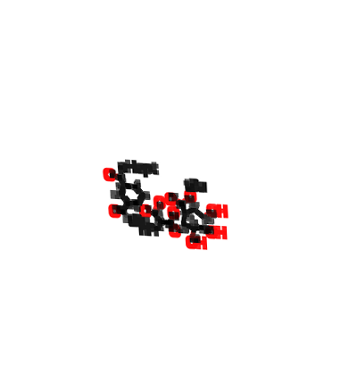 CCCCCCCC(=O)c1ccc(OC(=O)C(CCC)C(=O)OC2(C(=O)OC(C)(C)C)CC(O)C(O)C(O)C2)c(C(=O)C(C)(C)C)c1